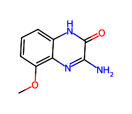 COc1cccc2[nH]c(=O)c(N)nc12